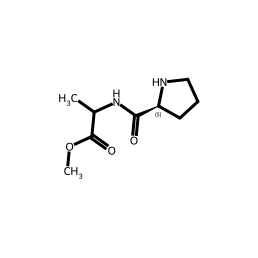 COC(=O)C(C)NC(=O)[C@@H]1CCCN1